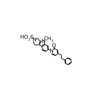 Cn1c2c(c3ccc(-n4ccc(CCc5ccccc5)cc4=O)cc31)CCN(C(=O)O)C2